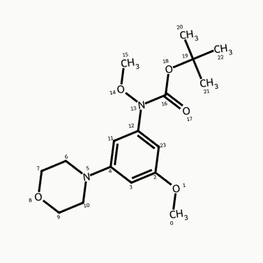 COc1cc(N2CCOCC2)cc(N(OC)C(=O)OC(C)(C)C)c1